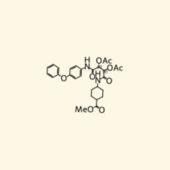 COC(=O)C1CCC(NC(=O)[C@H](OC(C)=O)[C@@H](OC(C)=O)C(=O)Nc2ccc(Oc3ccccc3)cc2)CC1